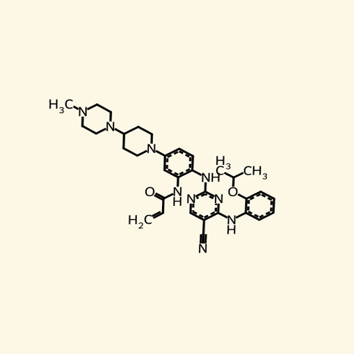 C=CC(=O)Nc1cc(N2CCC(N3CCN(C)CC3)CC2)ccc1Nc1ncc(C#N)c(Nc2ccccc2OC(C)C)n1